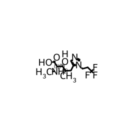 CN[C@H](C(=O)O)[C@H](O)[C@H](C)Cc1cncn1CCC(F)(F)F